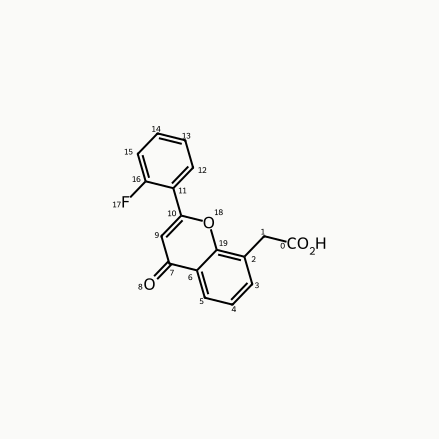 O=C(O)Cc1cccc2c(=O)cc(-c3ccccc3F)oc12